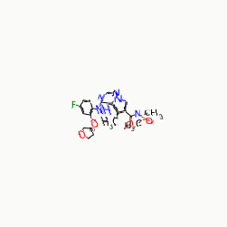 Cc1c(C(=O)N=S(C)(C)=O)cn2ncnc(Nc3ccc(F)cc3O[C@H]3CCOC3)c12